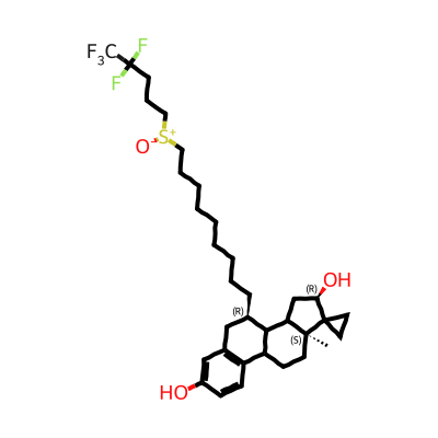 C[C@]12CCC3c4ccc(O)cc4C[C@@H](CCCCCCCCC[S+]([O-])CCCC(F)(F)C(F)(F)F)C3C1C[C@@H](O)C21CC1